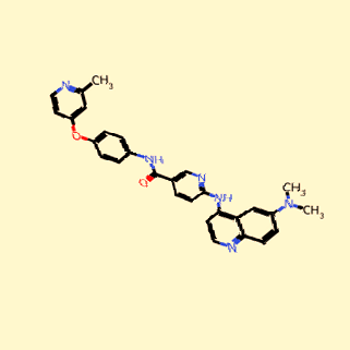 Cc1cc(Oc2ccc(NC(=O)c3ccc(Nc4ccnc5ccc(N(C)C)cc45)nc3)cc2)ccn1